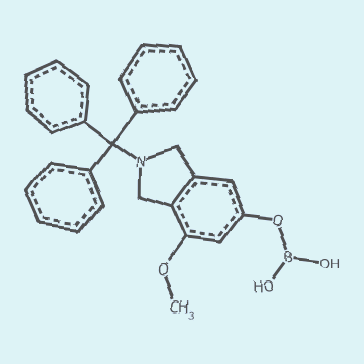 COc1cc(OB(O)O)cc2c1CN(C(c1ccccc1)(c1ccccc1)c1ccccc1)C2